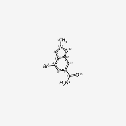 Cn1cc2c(Br)cc(C(N)=O)cc2n1